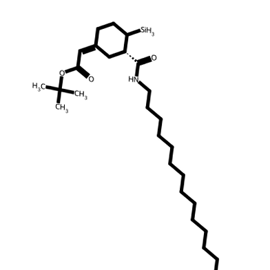 CCCCCCCCCCCCCCNC(=O)[C@@H]1C/C(=C\C(=O)OC(C)(C)C)CCC1[SiH3]